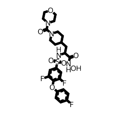 O=C(NO)C(CC1CCN(C(=O)N2CCOCC2)CC1)NS(=O)(=O)c1cc(F)c(Oc2ccc(F)cc2)c(F)c1